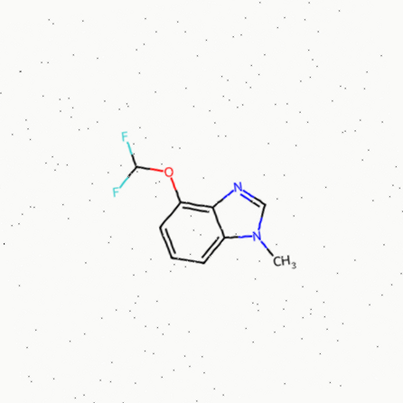 Cn1cnc2c(OC(F)F)cccc21